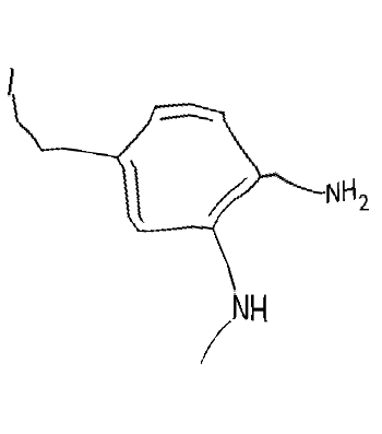 CNc1cc(CI)ccc1N